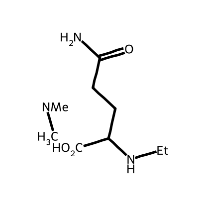 CCNC(CCC(N)=O)C(=O)O.CNC